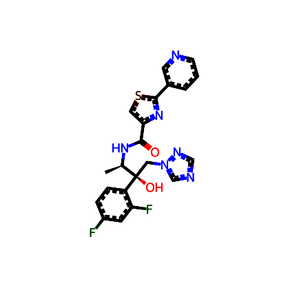 C[C@@H](NC(=O)c1csc(-c2cccnc2)n1)[C@](O)(Cn1cncn1)c1ccc(F)cc1F